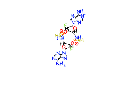 Nc1ncnc2c1ncn2[C@@H]1O[C@@H]2CNP(=O)(S)O[C@@H]3[C@H](F)[C@H](n4cnc5c(N)ncnc54)O[C@@H]3CNP(=O)(S)O[C@@H]2[C@@H]1F